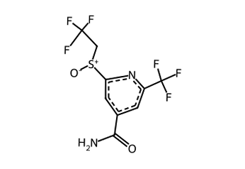 NC(=O)c1cc([S+]([O-])CC(F)(F)F)nc(C(F)(F)F)c1